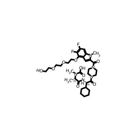 C[C@@H](C(=O)N[C@H](C(=O)N1CCN(C(=O)c2cc3c(OCCOCCOCCO)c(F)c(F)cc3n2C)CC1)C1CCCCC1)N(C)C(=O)O